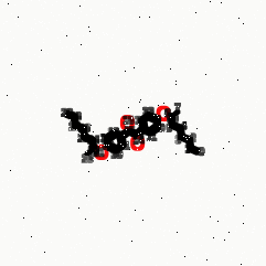 CCCCCC[C@H](C)Oc1ccc(C(=O)C(=O)c2ccc(O[C@@H](C)CCCCCC)cc2)cc1